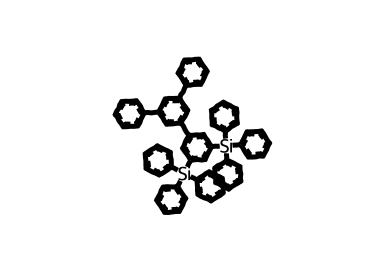 c1ccc(-c2cc(-c3ccccc3)cc(-c3cc([Si](c4ccccc4)(c4ccccc4)c4ccccc4)cc([Si](c4ccccc4)(c4ccccc4)c4ccccc4)c3)c2)cc1